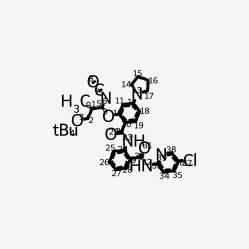 CC(COC(C)(C)C)C(N=C=O)Oc1cc(N2CCCC2)ccc1C(=O)Nc1ccccc1C(=O)Nc1ccc(Cl)cn1